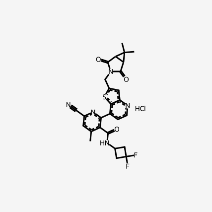 Cc1cc(C#N)nc(-c2ccnc3cc(CN4C(=O)C5C(C4=O)C5(C)C)sc23)c1C(=O)NC1CC(F)(F)C1.Cl